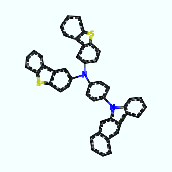 c1ccc2cc3c(cc2c1)c1ccccc1n3-c1ccc(N(c2ccc3sc4ccccc4c3c2)c2ccc3sc4ccccc4c3c2)cc1